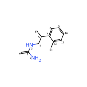 C=C(N)NCC(C)c1ccccc1C